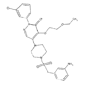 CCOCCOc1c(N2CCN(S(=O)(=O)Cc3cccc(N)c3)CC2)cnn(-c2cccc(Cl)c2)c1=O